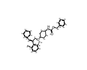 O=C(NC1CCC(OCC(=Cc2ccccc2)c2c(F)cccc2F)CC1)OCc1ccccc1